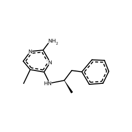 Cc1cnc(N)nc1N[C@H](C)Cc1ccccc1